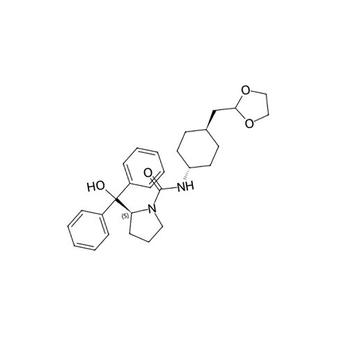 O=C(N[C@H]1CC[C@H](CC2OCCO2)CC1)N1CCC[C@H]1C(O)(c1ccccc1)c1ccccc1